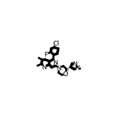 Cc1cc2c(-c3ccc(Cl)cc3F)nc(N3CCO[C@@H](c4cnn(C)c4)C3)cc2nc1C